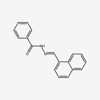 O=C(NN=Cc1cccc2ccccc12)c1ccccc1